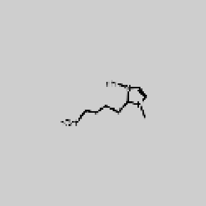 CCCCCCCCCCCCC1N(C)C=CN1CCC